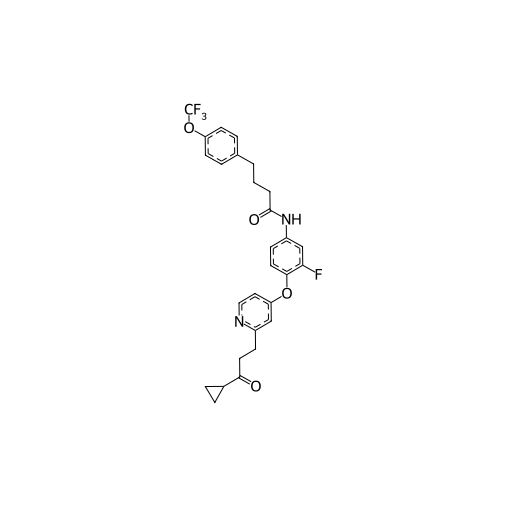 O=C(CCCc1ccc(OC(F)(F)F)cc1)Nc1ccc(Oc2ccnc(CCC(=O)C3CC3)c2)c(F)c1